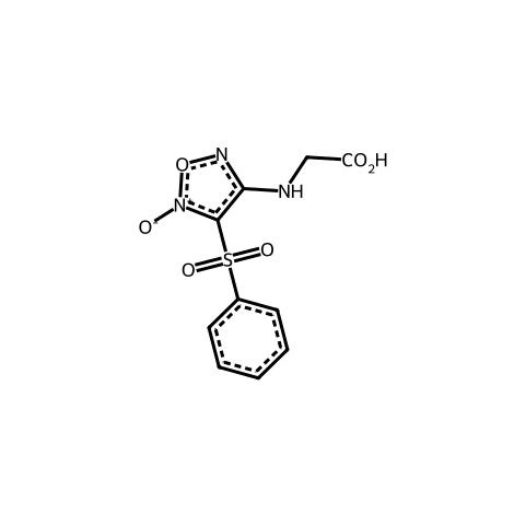 O=C(O)CNc1no[n+]([O-])c1S(=O)(=O)c1ccccc1